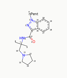 CCCCCn1nc(C(=O)NC(C)(C)CN2CCCC2)c2ccccc21